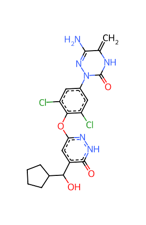 C=C1NC(=O)N(c2cc(Cl)c(Oc3cc(C(O)C4CCCC4)c(=O)[nH]n3)c(Cl)c2)N=C1N